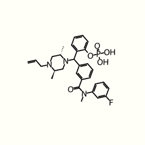 C=CCN1C[C@H](C)N(C(c2cccc(C(=O)N(C)c3cccc(F)c3)c2)c2ccccc2OP(=O)(O)O)C[C@H]1C